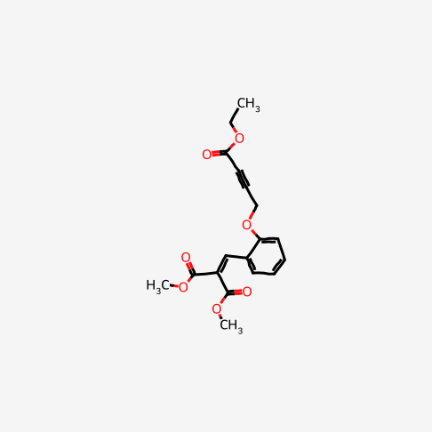 CCOC(=O)C#CCOc1ccccc1C=C(C(=O)OC)C(=O)OC